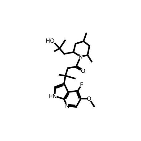 COc1cnc2[nH]cc(C(C)(C)CC(=O)N3C(C)CC(C)CC3CC(C)(C)O)c2c1F